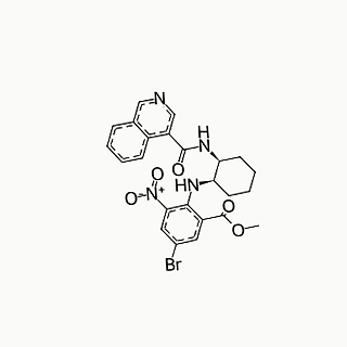 COC(=O)c1cc(Br)cc([N+](=O)[O-])c1N[C@@H]1CCCC[C@@H]1NC(=O)c1cncc2ccccc12